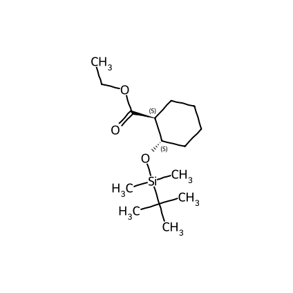 CCOC(=O)[C@H]1CCCC[C@@H]1O[Si](C)(C)C(C)(C)C